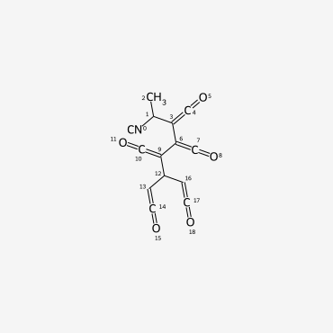 [C-]#[N+]C(C)C(=C=O)C(=C=O)C(=C=O)C(C=C=O)C=C=O